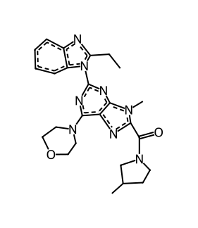 CCc1nc2ccccc2n1-c1nc(N2CCOCC2)c2nc(C(=O)N3CCC(C)C3)n(C)c2n1